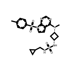 Cc1ccc(S(=O)(=O)n2ccc3c(N(C)[C@H]4C[C@@H](NS(=O)(=O)NCC5CC5)C4)ncnc32)cc1